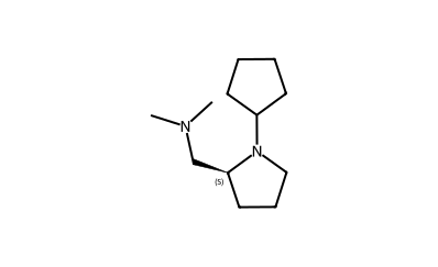 CN(C)C[C@@H]1CCCN1C1CCCC1